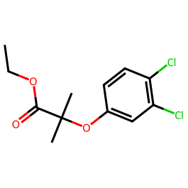 CCOC(=O)C(C)(C)Oc1ccc(Cl)c(Cl)c1